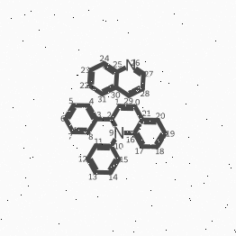 C1=CC(c2ccccc2)N(c2ccccc2)c2ccccc21.c1ccc2ncccc2c1